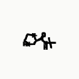 CC(C)(C)NC(=O)C1CNCC[N]1